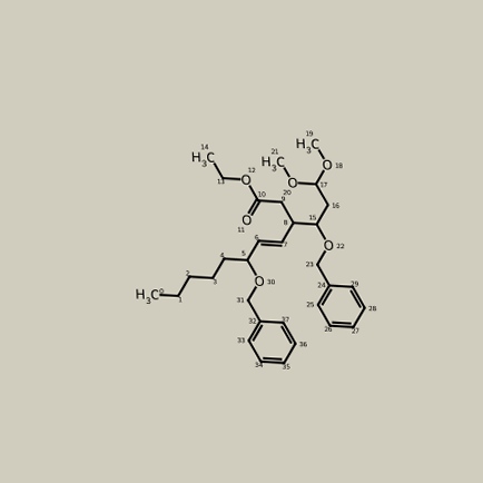 CCCCCC(C=CC(CC(=O)OCC)C(CC(OC)OC)OCc1ccccc1)OCc1ccccc1